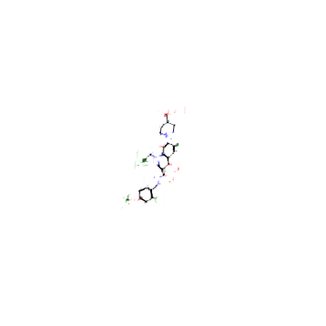 COc1c(N2CCC(C(=O)O)CC2)c(F)cc2c(=O)c(C(=O)NCc3ccc(OC(F)(F)F)cc3Cl)cn(CC(F)(F)F)c12